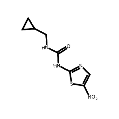 O=C(NCC1CC1)Nc1ncc([N+](=O)[O-])s1